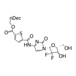 CCCCCCCCCCCOC(=O)c1ccc(C(=O)Nc2ccn([C@@H]3O[C@H](CO)[C@@H](O)C3(F)F)c(=O)n2)s1